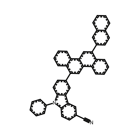 N#Cc1ccc2c(c1)c1cc(-c3cc4c5ccccc5c(-c5ccc6ccccc6c5)cc4c4ccccc34)ccc1n2-c1ccccc1